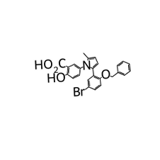 Cc1ccc(-c2cc(Br)ccc2OCc2ccccc2)n1-c1ccc(O)c(C(=O)O)c1